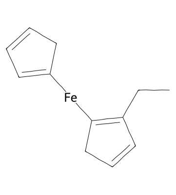 CCC1=[C]([Fe][C]2=CC=CC2)CC=C1